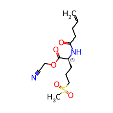 C=CCCC(=O)N[C@@H](CCCS(C)(=O)=O)C(=O)OCC#N